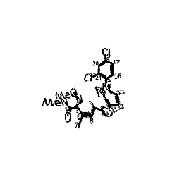 CNC(=O)C(=NOC)C(C)=CCOc1ccn(-c2ccc(Cl)cc2Cl)n1